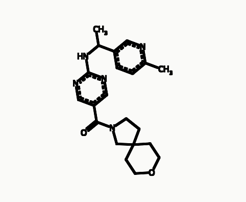 Cc1ccc(C(C)Nc2ncc(C(=O)N3CCC4(CCOCC4)C3)cn2)cn1